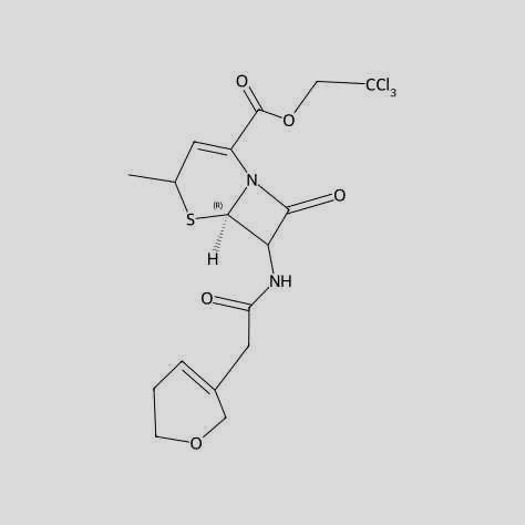 CC1C=C(C(=O)OCC(Cl)(Cl)Cl)N2C(=O)C(NC(=O)CC3=CCCOC3)[C@H]2S1